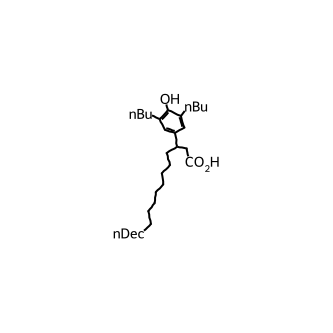 CCCCCCCCCCCCCCCCCCC(CC(=O)O)c1cc(CCCC)c(O)c(CCCC)c1